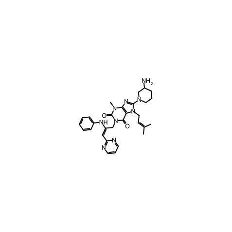 CC(C)=CCn1c(N2CCCC(N)C2)nc2c1c(=O)n(C/C(=C\c1ncccn1)Nc1ccccc1)c(=O)n2C